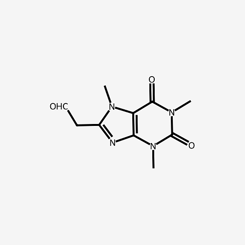 Cn1c(=O)c2c(nc(CC=O)n2C)n(C)c1=O